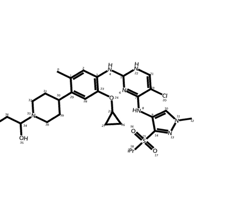 Cc1cc(NC2N=C(Nc3cn(C)nc3S(=O)(=O)C(C)C)C(Cl)=CN2)c(OC2CC2)cc1C1CCN(C(O)CC#N)CC1